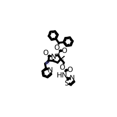 C[C@@]1(COC(=O)Nc2nccs2)CC2/C(=C\c3ccccn3)C(=O)N2[C@H]1C(=O)OC(c1ccccc1)c1ccccc1